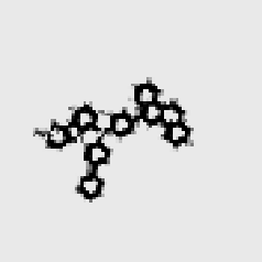 C1=Cc2oc3c(N(c4ccc(-c5ccccc5)cc4)c4ccc(-c5cc6c7ccccc7ccc6c6ccccc56)cc4)cccc3c2CN1